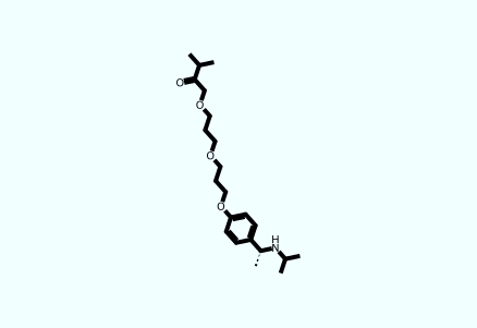 CC(C)N[C@H](C)c1ccc(OCCCOCCCOCC(=O)C(C)C)cc1